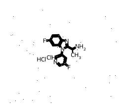 C[C@H](N)c1nc2ccc(F)cc2n1-c1cncc(F)c1.Cl.Cl